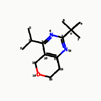 CC(C)c1nc(C(C)(C)C)nc2c1COCC2